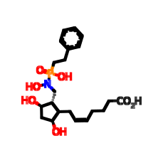 O=C(O)CCC/C=C\CC1[C@@H](CN(O)P(=O)(O)CCc2ccccc2)[C@H](O)C[C@@H]1O